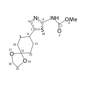 COC(=O)Nc1ncc(C2CCC3(CC2)OCCO3)s1